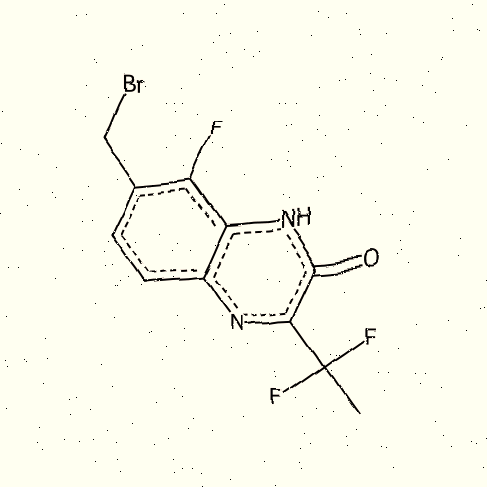 CC(F)(F)c1nc2ccc(CBr)c(F)c2[nH]c1=O